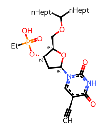 C#Cc1cn([C@H]2C[C@H](OP(=O)(O)CC)[C@@H](COC(CCCCCCC)CCCCCCC)O2)c(=O)[nH]c1=O